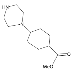 COC(=O)C1CCC(N2CCNCC2)CC1